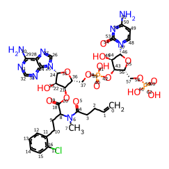 C=CCCC(=O)N(C)C(CCc1ccccc1Cl)C(=O)O[C@H]1[C@@H](O)[C@H](n2cnc3c(N)ncnc32)O[C@@H]1COP(=O)(O)O[C@H]1[C@@H](O)[C@H](n2ccc(N)nc2=O)O[C@@H]1COP(=O)(O)O